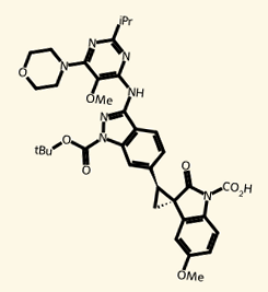 COc1ccc2c(c1)[C@]1(C[C@H]1c1ccc3c(Nc4nc(C(C)C)nc(N5CCOCC5)c4OC)nn(C(=O)OC(C)(C)C)c3c1)C(=O)N2C(=O)O